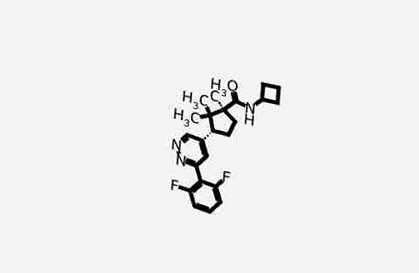 CC1(C)[C@@H](c2cnnc(-c3c(F)cccc3F)c2)CC[C@]1(C)C(=O)NC1CCC1